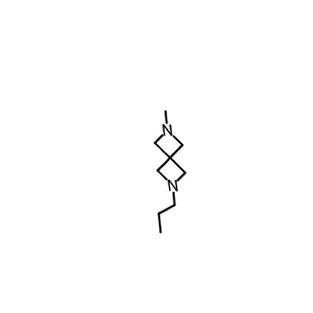 CCCN1CC2(CN(C)C2)C1